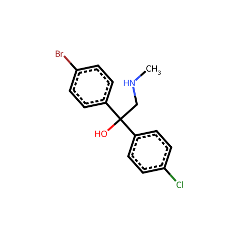 CNCC(O)(c1ccc(Cl)cc1)c1ccc(Br)cc1